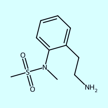 CN(c1ccccc1CCN)S(C)(=O)=O